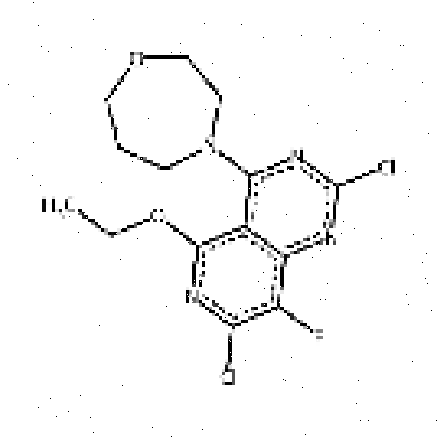 CCOc1nc(Cl)c(F)c2nc(Cl)nc(N3CCCOCC3)c12